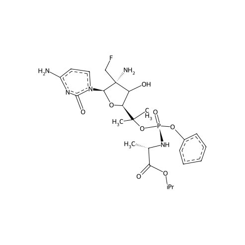 CC(C)OC(=O)[C@H](C)N[P@@](=O)(Oc1ccccc1)OC(C)(C)[C@H]1O[C@@H](n2ccc(N)nc2=O)[C@@](N)(CF)C1O